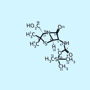 CC1(C)S[C@@H]2[C@H](NC(=O)O[Si](C)(C)C)C(=O)N2[C@H]1C(=O)O